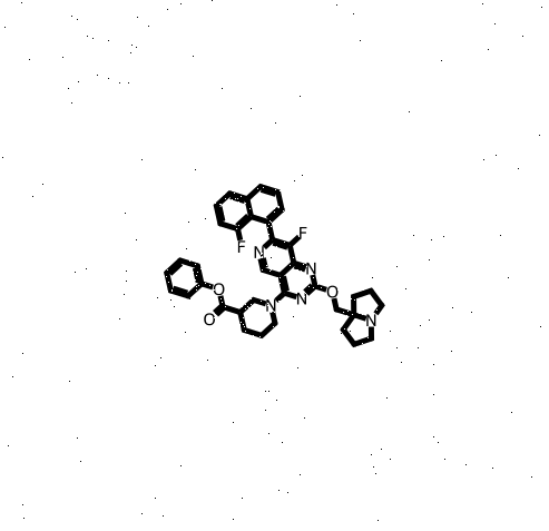 O=C(Oc1ccccc1)C1CCCN(c2nc(OCC34CCCN3CCC4)nc3c(F)c(-c4cccc5cccc(F)c45)ncc23)C1